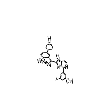 Oc1cc(F)cc(-c2nccc3[nH]c(-c4n[nH]c5ccc(C6CCNCC6)cc45)nc23)c1